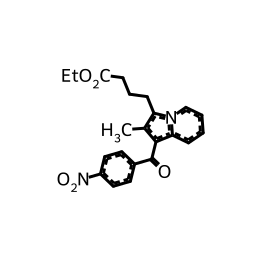 CCOC(=O)CCCc1c(C)c(C(=O)c2ccc([N+](=O)[O-])cc2)c2ccccn12